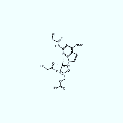 CNc1nc(NC(=O)CC(C)C)nc2c1N=CC2[C@@H]1O[C@H](COC(=O)C(C)C)[C@@H](OC(=O)CC(C)C)[C@@]1(C)F